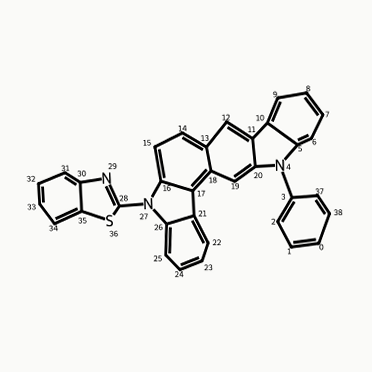 c1ccc(-n2c3ccccc3c3cc4ccc5c(c4cc32)c2ccccc2n5-c2nc3ccccc3s2)cc1